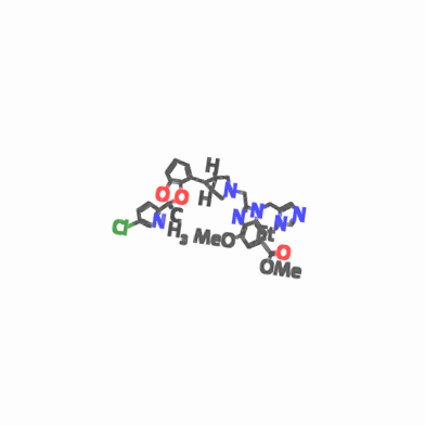 CCn1cncc1Cn1c(CN2C[C@@H]3C(c4cccc5c4O[C@](C)(c4ccc(Cl)cn4)O5)[C@@H]3C2)nc2c(OC)cc(C(=O)OC)cc21